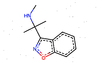 CNC(C)(C)c1noc2ccccc12